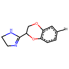 [2H]c1ccc2c(c1)OCC(C1=NCCN1)O2